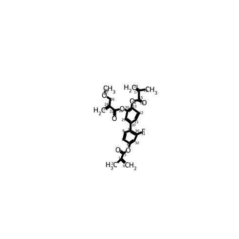 C=C(C)C(=O)Oc1ccc(-c2ccc(OC(=O)C(=C)C)c(OC(=O)C(=C)COC)c2)c(F)c1